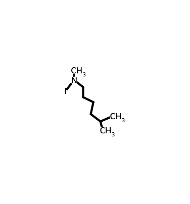 CC(C)CCCCN(C)I